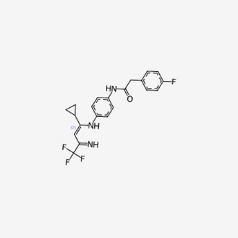 N=C(/C=C(\Nc1ccc(NC(=O)Cc2ccc(F)cc2)cc1)C1CC1)C(F)(F)F